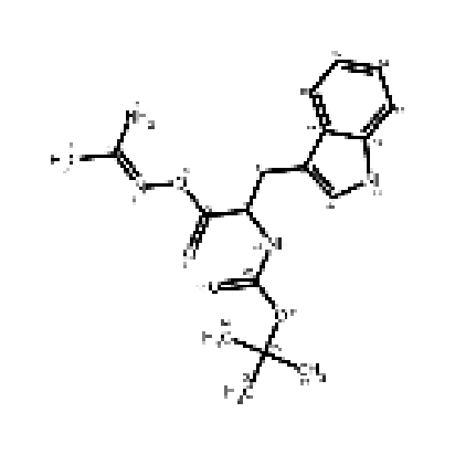 CC(N)=NOC(=O)C(Cc1c[nH]c2ccccc12)NC(=O)OC(C)(C)C